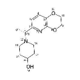 C[C@H](c1ccc2c(n1)OCCO2)N1CCC(O)CC1